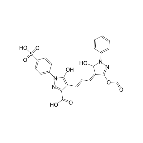 O=COC1=NN(c2ccccc2)C(O)/C1=C\C=C\c1c(C(=O)O)nn(-c2ccc(S(=O)(=O)O)cc2)c1O